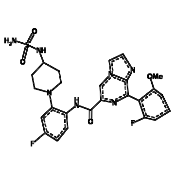 COc1cccc(F)c1-c1nc(C(=O)Nc2ccc(F)cc2N2CCC(NS(N)(=O)=O)CC2)cn2ccnc12